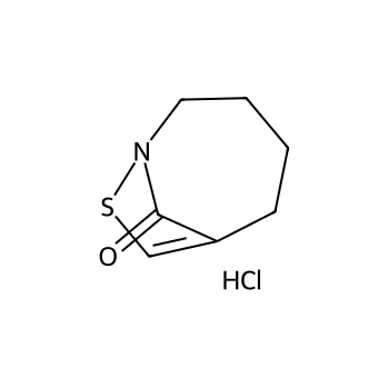 Cl.O=c1c2csn1CCCC2